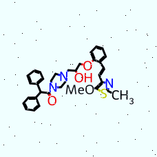 COc1sc(C)nc1C=Cc1ccccc1OCC(O)CN1CCN(C(=O)C(c2ccccc2)c2ccccc2)CC1